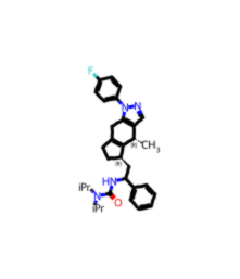 CC(C)N(C(=O)NC(C[C@H]1CCC2=C1[C@@H](C)c1cnn(-c3ccc(F)cc3)c1C2)c1ccccc1)C(C)C